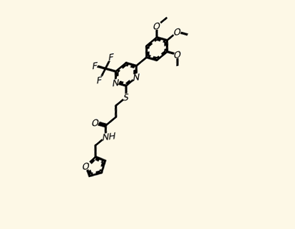 COc1cc(-c2cc(C(F)(F)F)nc(SCCC(=O)NCc3ccco3)n2)cc(OC)c1OC